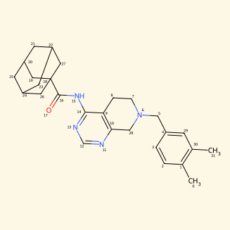 Cc1ccc(CN2CCc3c(ncnc3NC(=O)C34CC5CC(CC(C5)C3)C4)C2)cc1C